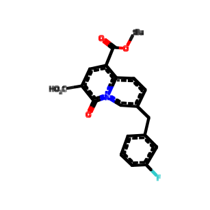 CC(C)(C)OC(=O)c1cc(C(=O)O)c(=O)n2cc(Cc3cccc(F)c3)ccc12